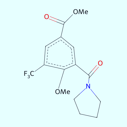 COC(=O)c1cc(C(=O)N2CCCC2)c(OC)c(C(F)(F)F)c1